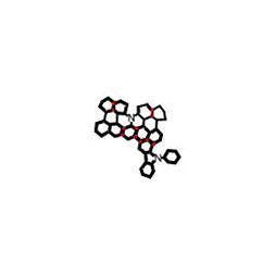 C1=CCC(c2cccc3cccc(C4CCCCC4)c23)C(N(c2cccc(-c3ccc4c(c3)c3ccccc3n4-c3ccccc3)c2)c2ccccc2-c2cccc3cccc(-c4ccccc4)c23)=C1